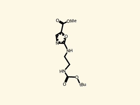 COC(=O)c1cnc(NCCNC(=O)OC(C)(C)C)o1